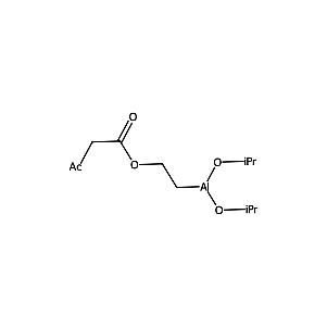 CC(=O)CC(=O)OC[CH2][Al]([O]C(C)C)[O]C(C)C